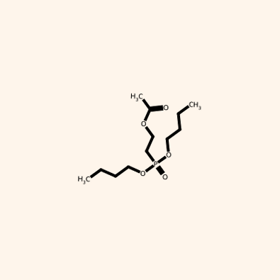 CCCCOP(=O)(CCOC(C)=O)OCCCC